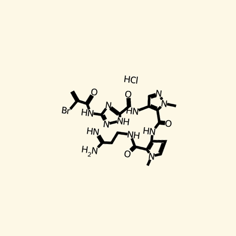 C=C(Br)C(=O)Nc1n[nH]c(C(=O)Nc2cnn(C)c2C(=O)Nc2ccn(C)c2C(=O)NCCC(=N)N)n1.Cl